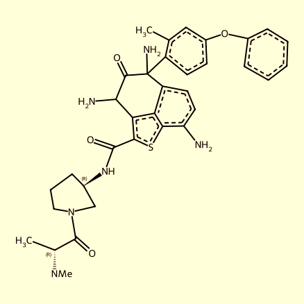 CN[C@H](C)C(=O)N1CCC[C@@H](NC(=O)c2sc3c(N)ccc4c3c2C(N)C(=O)C4(N)c2ccc(Oc3ccccc3)cc2C)C1